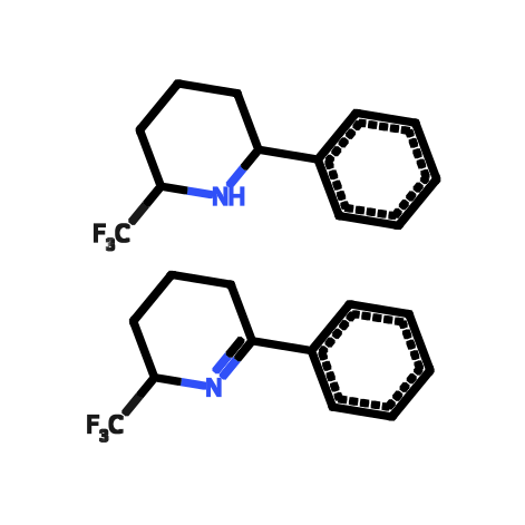 FC(F)(F)C1CCCC(c2ccccc2)=N1.FC(F)(F)C1CCCC(c2ccccc2)N1